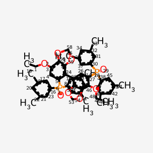 CCOc1cc(P(=O)(c2cc(C)cc(C)c2)c2cc(C)cc(C)c2)c(-c2cc(P(=O)(c3cc(C)cc(C)c3)c3cc(C)cc(C)c3)c(OCC)c3c2OCO3)c2c1OCO2